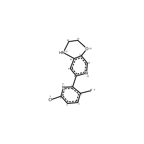 Fc1ccc(Cl)nc1-c1cc2c(cn1)OCCN2